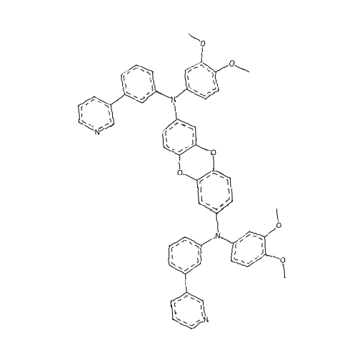 COc1ccc(N(c2cccc(-c3cccnc3)c2)c2ccc3c(c2)Oc2ccc(N(c4cccc(-c5cccnc5)c4)c4ccc(OC)c(OC)c4)cc2O3)cc1OC